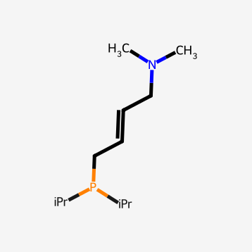 CC(C)P(CC=CCN(C)C)C(C)C